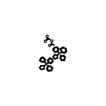 CC(=O)[O-].CC(=O)[O-].c1ccc([P+](c2ccccc2)(c2ccccc2)C2CCCC2)cc1.c1ccc([P+](c2ccccc2)(c2ccccc2)C2CCCC2)cc1